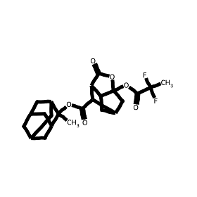 CC(F)(F)C(=O)OC12CC3CC1C(C(=O)O2)C3C(=O)OC1(C)C2CC3CC(C2)CC1C3